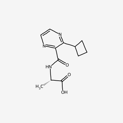 C[C@H](NC(=O)c1nccnc1C1CCC1)C(=O)O